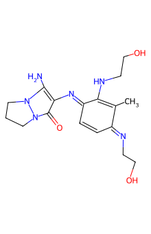 CC1=C(NCCO)C(=N/c2c(N)n3n(c2=O)CCC3)/C=CC/1=N\CCO